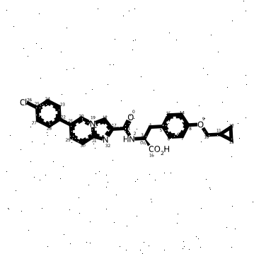 O=C(N[C@@H](Cc1ccc(OCC2CC2)cc1)C(=O)O)c1cn2cc(-c3ccc(Cl)cc3)ccc2n1